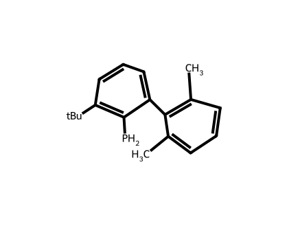 Cc1cccc(C)c1-c1cccc(C(C)(C)C)c1P